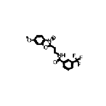 COc1ccc2c(c1)OC(CCNC(=O)c1cccc(C(F)(F)F)c1)[N+]2=O